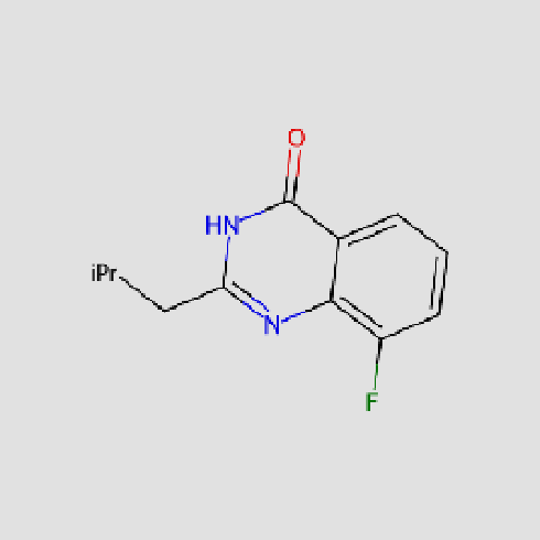 CC(C)Cc1nc2c(F)cccc2c(=O)[nH]1